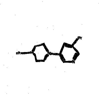 CCCN1CCN(c2cncc(C(C)C)c2)CC1